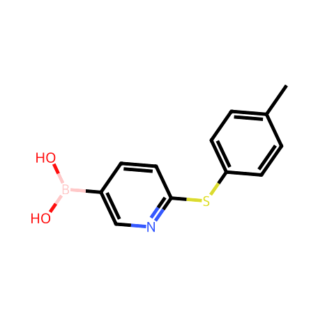 Cc1ccc(Sc2ccc(B(O)O)cn2)cc1